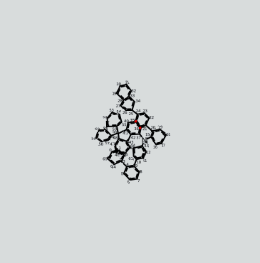 c1ccc(-c2ccccc2-c2ccc(N(c3ccccc3-c3ccc(-c4ccc5ccccc5c4)cc3)c3cccc4c3-c3ccccc3C4(c3ccccc3)c3ccccc3)cc2)cc1